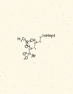 CCCCCCCCCCCCC1(Br)OO1.CN(C)C